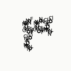 CC1c2nnn(-c3ncc(F)cn3)c2CCN1C(=O)c1cccc(C(F)(F)F)c1F.C[C@H]1c2nnn(-c3cncnc3)c2CCN1C(=O)c1cccc(C(F)(F)F)c1Cl.Cc1cc(C)nc(-n2nnc3c2CCN(C(=O)c2cccc(Cl)c2Cl)C3C)n1.Cc1cncc(-n2nnc3c2CCN(C(=O)c2cccc(Cl)c2Cl)C3C)n1